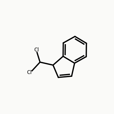 ClC(Cl)C1C=Cc2ccccc21